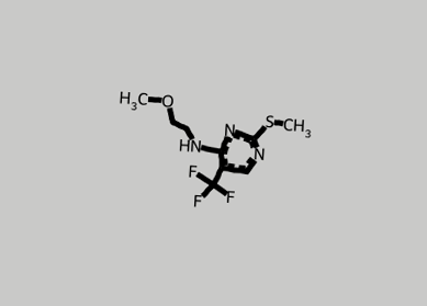 COCCNc1nc(SC)ncc1C(F)(F)F